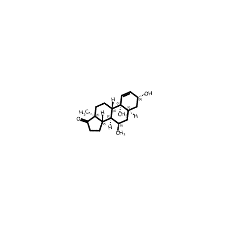 C[C@@H]1C[C@@H]2C[C@@H](O)C=C[C@]2(C)[C@H]2CC[C@]3(C)C(=O)CC[C@H]3[C@H]12